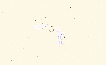 C[C@H](Nc1nccc(N2C(=O)OC[C@@H]2[C@@H](C)O)n1)c1ccc(C(CC2CC2)N2CCNCC2)cc1